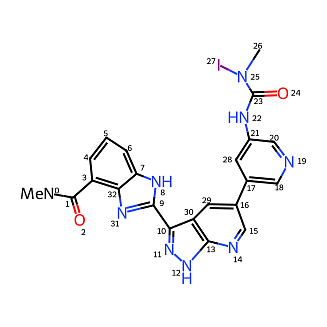 CNC(=O)c1cccc2[nH]c(-c3n[nH]c4ncc(-c5cncc(NC(=O)N(C)I)c5)cc34)nc12